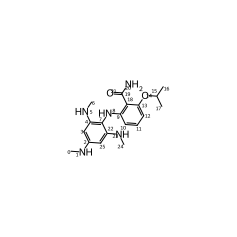 CNc1cc(NC)c(Nc2cccc(OC(C)C)c2C(N)=O)c(NC)c1